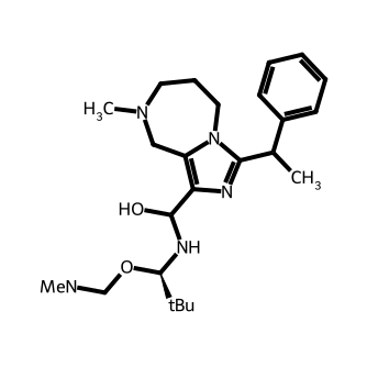 CNCO[C@@H](NC(O)c1nc(C(C)c2ccccc2)n2c1CN(C)CCC2)C(C)(C)C